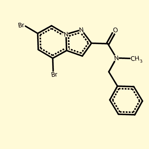 CN(Cc1ccccc1)C(=O)c1cc2c(Br)cc(Br)cn2n1